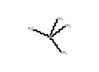 CCCCCCCCCCS(CCCCCCCCCC)(CCCCCCCCCC)CCCCCCCCCC